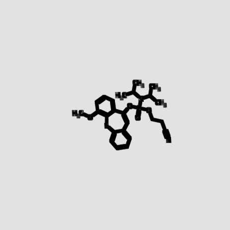 COc1cccc2c1Sc1ccccc1C=C2OP(=O)(OCCC#N)N(C(C)C)C(C)C